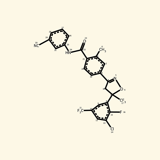 Cc1cc(C2=NOC(c3cc(C(F)(F)F)cc(Cl)c3F)(C(F)(F)F)C2)ccc1C(=O)Nc1cccc(C#N)c1